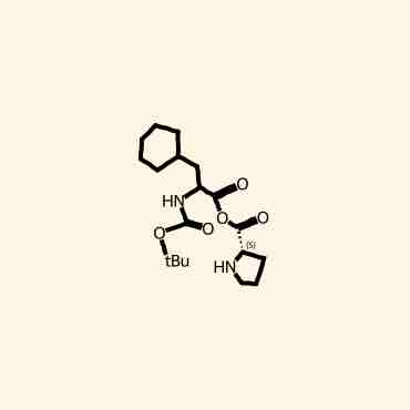 CC(C)(C)OC(=O)NC(CC1CCCCC1)C(=O)OC(=O)[C@@H]1CCCN1